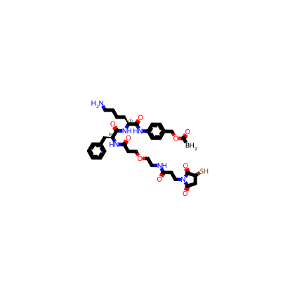 BC(=O)OCc1ccc(NC(=O)[C@H](CCCCN)NC(=O)[C@H](Cc2ccccc2)NC(=O)CCOCCNC(=O)CCN2C(=O)CC(S)C2=O)cc1